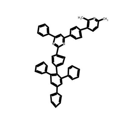 Cc1ccc(-c2ccc(-c3cc(-c4ccccc4)nc(-c4ccc(-c5c(-c6ccccc6)cc(-c6ccccc6)cc5-c5ccccc5)cc4)n3)cc2)c(C)n1